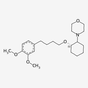 COc1ccc(CCCCO[C@H]2CCCCC2N2CCOCC2)cc1OC